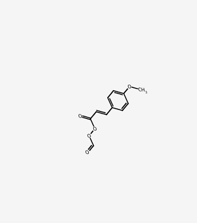 COc1ccc(C=CC(=O)OOC=O)cc1